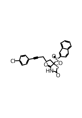 O=C1NC(=O)C(CCCC#Cc2ccc(Cl)cc2)(S(=O)(=O)c2ccc3ccccc3c2)S1